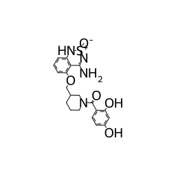 NC1=N[S+]([O-])Nc2cccc(OCC3CCCN(C(=O)c4ccc(O)cc4O)C3)c21